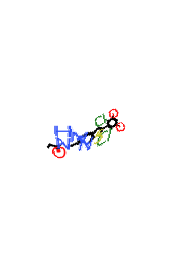 C=CC(=O)NCc1ncc2cc(-c3c(Cl)c(OC)cc(OC)c3Cl)sc2n1